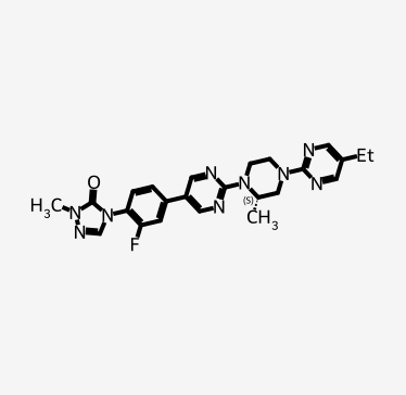 CCc1cnc(N2CCN(c3ncc(-c4ccc(-n5cnn(C)c5=O)c(F)c4)cn3)[C@@H](C)C2)nc1